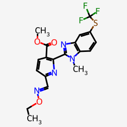 CCON=Cc1ccc(C(=O)OC)c(-c2nc3cc(SC(F)(F)F)ccc3n2C)n1